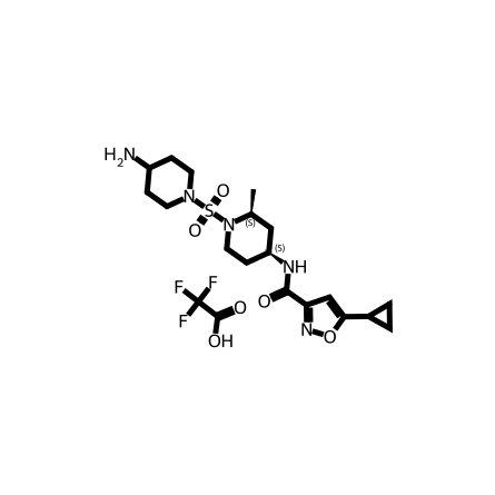 C[C@H]1C[C@@H](NC(=O)c2cc(C3CC3)on2)CCN1S(=O)(=O)N1CCC(N)CC1.O=C(O)C(F)(F)F